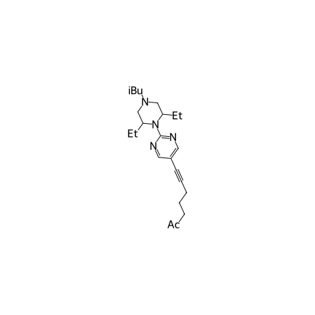 CCC(C)N1CC(CC)N(c2ncc(C#CCCCC(C)=O)cn2)C(CC)C1